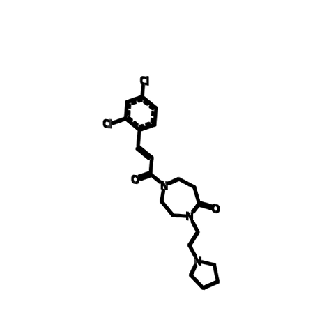 O=C(C=Cc1ccc(Cl)cc1Cl)N1CCC(=O)N(CCN2CCCC2)CC1